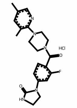 Cc1cnc(N2CCN(C(=O)c3ccc(N4CCNC4=O)cc3F)CC2)c(C)c1.Cl